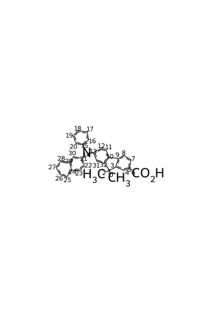 CC1(C)c2cc(C(=O)O)ccc2-c2ccc(N(c3ccccc3)c3ccc4ccccc4c3)cc21